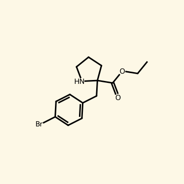 CCOC(=O)C1(Cc2ccc(Br)cc2)CCCN1